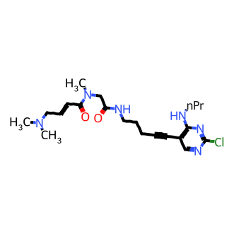 CCCNc1nc(Cl)ncc1C#CCCCNC(=O)CN(C)C(=O)/C=C/CN(C)C